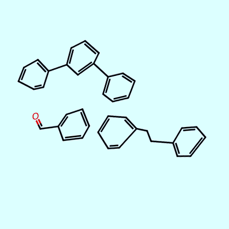 O=Cc1ccccc1.c1ccc(-c2cccc(-c3ccccc3)c2)cc1.c1ccc(CCc2ccccc2)cc1